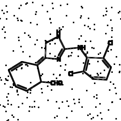 O=CC1C=CC=CC1=C1CNC(Nc2c(Cl)cccc2Cl)=N1